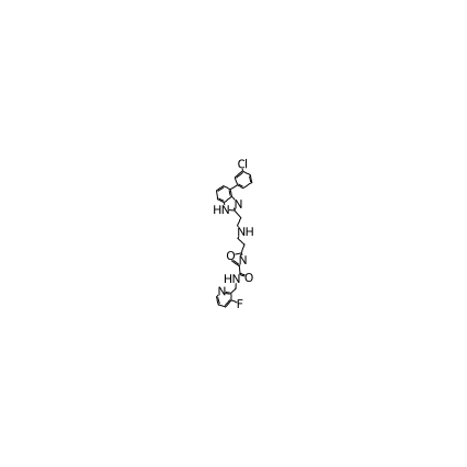 O=C(NCc1ncccc1F)c1coc(CCNCCc2nc3c(-c4cccc(Cl)c4)cccc3[nH]2)n1